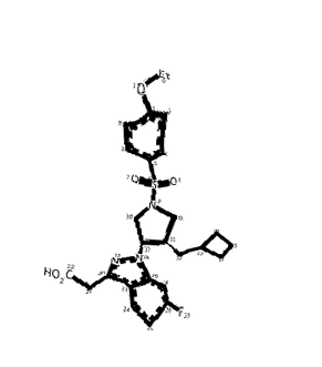 CCOc1ccc(S(=O)(=O)N2C[C@@H](CC3CCC3)[C@@H](n3nc(CC(=O)O)c4ccc(F)cc43)C2)cc1